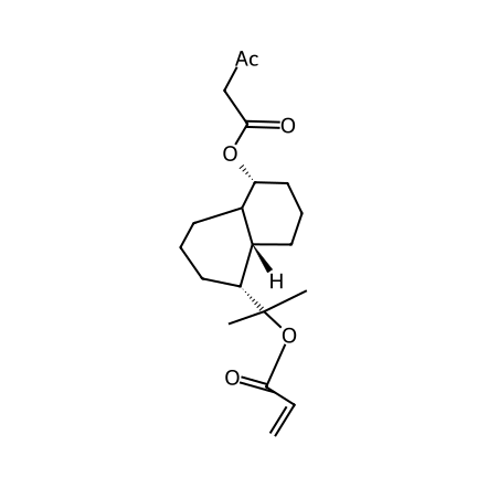 C=CC(=O)OC(C)(C)[C@@H]1CCCC2[C@H](OC(=O)CC(C)=O)CCC[C@@H]21